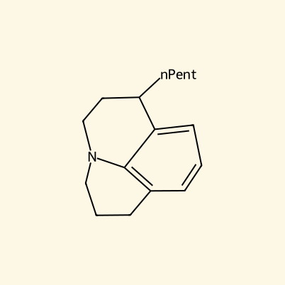 CCCCCC1CCN2CCCc3cccc1c32